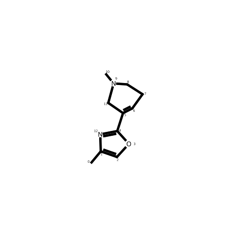 Cc1coc(C2=CCCN(C)C2)n1